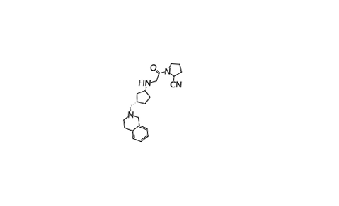 N#C[C@@H]1CCCN1C(=O)CN[C@@H]1CC[C@H](CN2CCc3ccccc3C2)C1